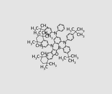 CC(C)(C)c1ccc(N(c2ccccc2)c2cc3c4c(c2)N(c2ccc5c(c2)C(C)(C)CCC5(C)C)c2c(oc5cc6c(cc25)C(C)(C)CCC6(C)C)B4c2cc(C(C)(C)C)ccc2N3c2ccc(C(C)(C)C)cc2)cc1